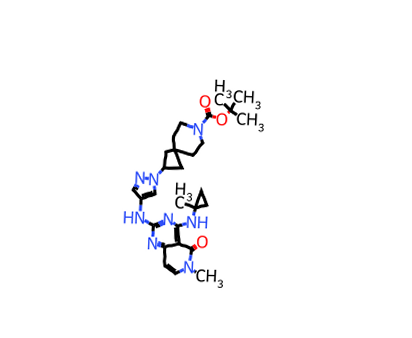 Cn1ccc2nc(Nc3cnn(C4CC5(CCN(C(=O)OC(C)(C)C)CC5)C4)c3)nc(NC3(C)CC3)c2c1=O